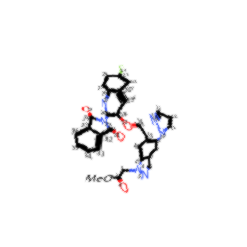 COC(=O)Cn1ncc2cc(-n3cccn3)c(COc3cc4cc(F)ccc4nc3N3C(=O)c4ccccc4C3=O)cc21